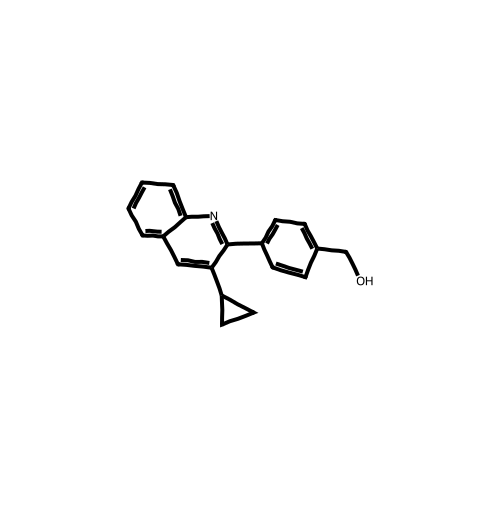 OCc1ccc(-c2nc3ccccc3cc2C2CC2)cc1